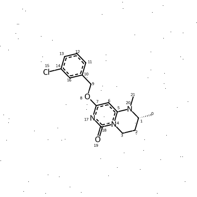 C[C@@H]1CCn2c(cc(OCc3cccc(Cl)c3)nc2=O)N1C